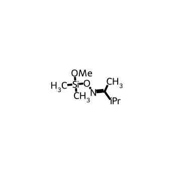 CO[Si](C)(C)ON=C(C)C(C)C